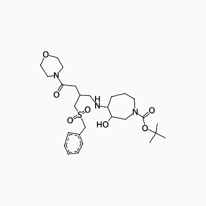 CC(C)(C)OC(=O)N1CCCC(NCC(CC(=O)N2CCOCC2)CS(=O)(=O)Cc2ccccc2)C(O)C1